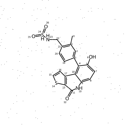 Cc1cc(-c2c(O)ccc3[nH]c(=O)c4sccc4c23)ccc1CN[SH](=O)=O